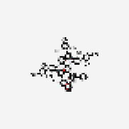 N#Cc1cc(C#N)c(-c2ccc3c(c2)c2cc(-c4c(C#N)cc(C#N)cc4C#N)ccc2n3-c2ccccc2-c2ccc(-c3cc(-c4ccccc4)nc(-c4ccccc4)n3)cc2-n2c3ccc(-c4c(C#N)cc(C#N)cc4C#N)cc3c3cc(-c4c(C#N)cc(C#N)cc4C#N)ccc32)c(C#N)c1